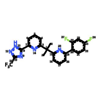 CC(C)(c1cccc(-c2nc(C(F)(F)F)n[nH]2)n1)c1cccc(-c2ccc(F)cc2F)n1